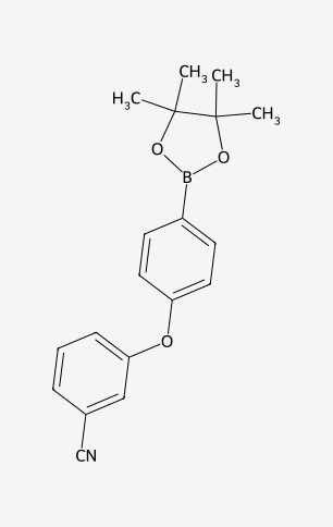 CC1(C)OB(c2ccc(Oc3cccc(C#N)c3)cc2)OC1(C)C